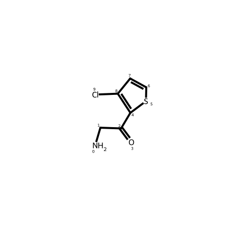 NCC(=O)c1sccc1Cl